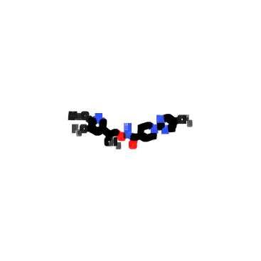 COc1ncc(C(C)CONC(=O)C2=CCN(c3ncc(C(F)(F)F)cn3)CC2)cc1C(F)(F)F